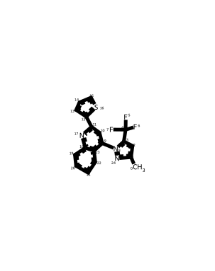 Cc1cc(C(F)(F)F)n(-c2cc(-c3cccs3)nc3ccccc23)n1